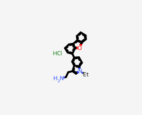 CCn1cc(CCN)c2cc(-c3cccc4c3oc3ccccc34)ccc21.Cl